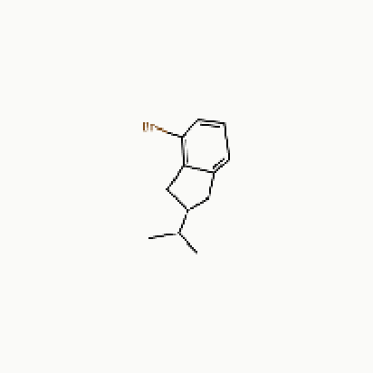 CC(C)C1Cc2cccc(Br)c2C1